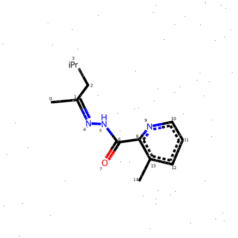 CC(CC(C)C)=NNC(=O)c1ncccc1C